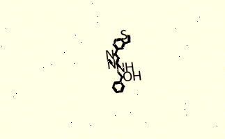 O[C@@H](CNc1cc(-c2ccc3sccc3c2)ncn1)c1ccccc1